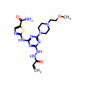 C=CC(=O)NNc1nc(Nc2ncc(C(N)=O)s2)nc(N2CCN(CCOC)CC2)n1